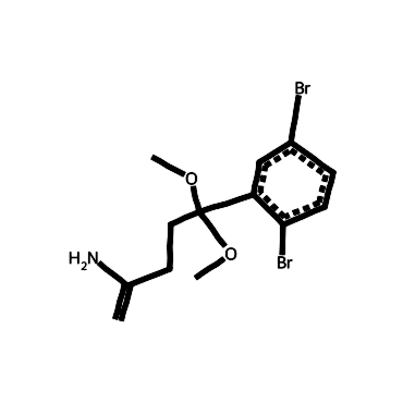 C=C(N)CCC(OC)(OC)c1cc(Br)ccc1Br